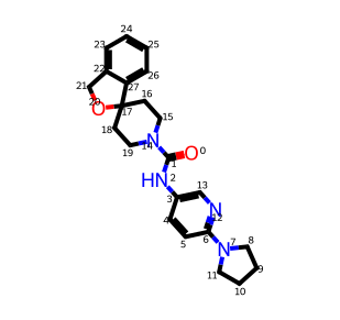 O=C(Nc1ccc(N2CCCC2)nc1)N1CCC2(CC1)OCc1ccccc12